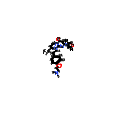 CN(C)CCOc1ccc(CCN2c3nc(N4C[C@@H]5C[C@H]4CO5)cc(=O)n3CC[C@H]2C(F)(F)F)cc1